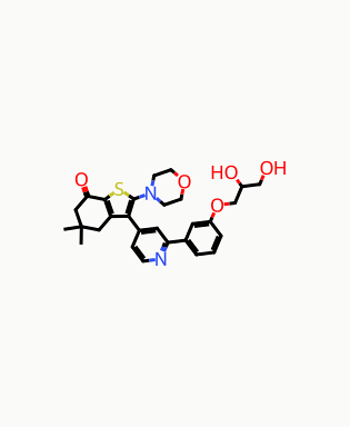 CC1(C)CC(=O)c2sc(N3CCOCC3)c(-c3ccnc(-c4cccc(OCC(O)CO)c4)c3)c2C1